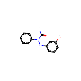 NC(=O)N(Nc1cccc(O)c1)c1ccccc1